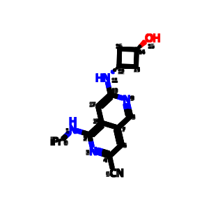 CC(C)Nc1nc(C#N)cc2cnc(N[C@H]3C[C@H](O)C3)cc12